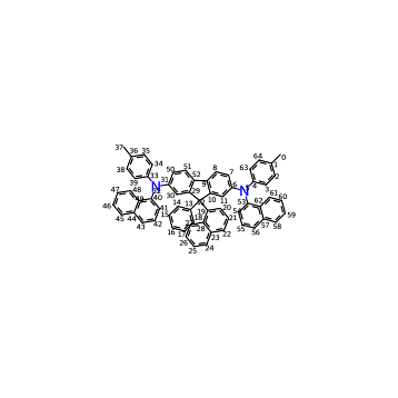 Cc1ccc(N(c2ccc3c(c2)C(c2ccccc2)(c2cccc4ccccc24)c2cc(N(c4ccc(C)cc4)c4cccc5ccccc45)ccc2-3)c2cccc3ccccc23)cc1